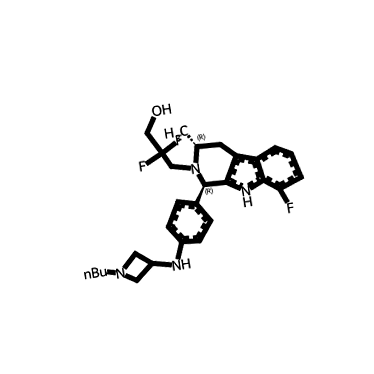 CCCCN1CC(Nc2ccc([C@@H]3c4[nH]c5c(F)cccc5c4C[C@@H](C)N3CC(F)(F)CO)cc2)C1